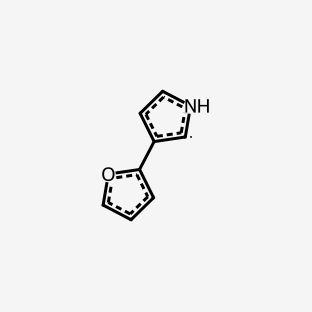 [c]1[nH]ccc1-c1ccco1